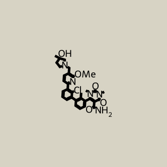 COc1nc(-c2cccc(-c3cccc(-c4c(C(N)=O)c(=O)n(C)c(=O)n4C)c3C)c2Cl)ccc1CN1CCC(C)(O)C1